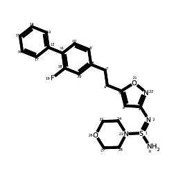 NS(=Nc1cc(CCc2ccc(-c3ccccc3)c(F)c2)on1)N1CCOCC1